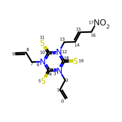 C=CCn1c(=S)n(CC=C)c(=S)n(CC=CC[N+](=O)[O-])c1=S